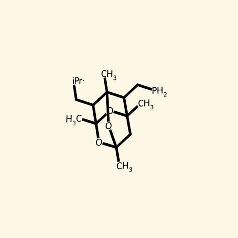 C[C](C)CC1C2(C)OC3(C)CC(C)(O2)C(CP)C1(C)O3